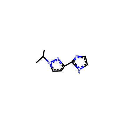 CC(C)n1ccc(-c2ncc[nH]2)n1